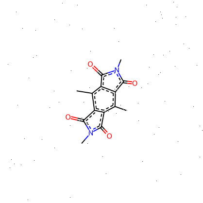 Cc1c2c(=O)n(C)c(=O)c2c(C)c2c(=O)n(C)c(=O)c12